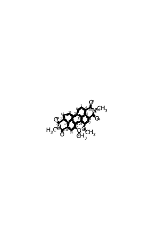 COc1cc2c3c(ccc4c5ccc6c7c(cc(OC)c(c1c34)c75)C(=O)N(C)C6=O)C(=O)N(C)C2=O